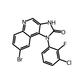 O=c1[nH]c2cnc3ccc(Br)cc3c2n1-c1cccc(Cl)c1F